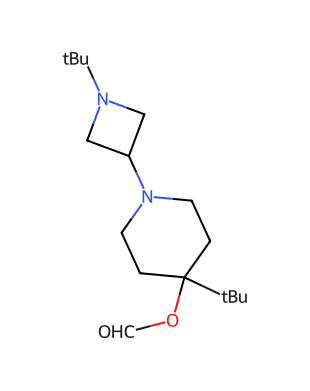 CC(C)(C)N1CC(N2CCC(OC=O)(C(C)(C)C)CC2)C1